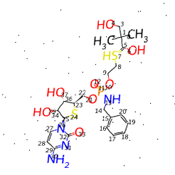 CC(C)(CO)C(O)=[SH]CCOP(=O)(NCc1ccccc1)OC[C@H]1S[C@@H](n2ccc(N)nc2=O)[C@@H](O)[C@@H]1O